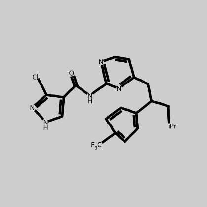 CC(C)CC(Cc1ccnc(NC(=O)c2c[nH]nc2Cl)n1)c1ccc(C(F)(F)F)cc1